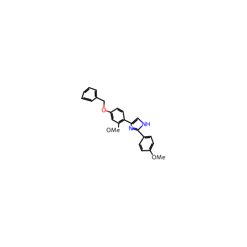 COc1ccc(-c2nc(-c3ccc(OCc4ccccc4)cc3OC)c[nH]2)cc1